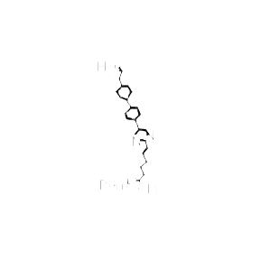 C=CCc1ccc(-c2ccc(-c3cnc(C=CCCCC(C)OCCCCC)nc3)cc2)cc1